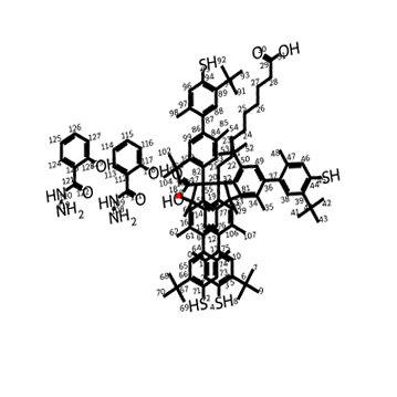 Cc1cc(S)c(C(C)(C)C)cc1-c1cc(C(C)(C)C)c(C(CCCCCCCCC(=O)O)(c2cc(C)c(-c3cc(C(C)(C)C)c(S)cc3C)cc2C(C)(C)C)C(C(=O)O)(c2cc(C)c(-c3cc(C(C)(C)C)c(S)cc3C)cc2C(C)(C)C)c2cc(C)c(-c3cc(C(C)(C)C)c(S)cc3C)cc2C(C)(C)C)cc1C.NNC(=O)c1ccccc1O.NNC(=O)c1ccccc1O